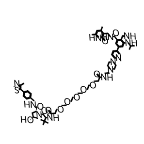 Cc1cc(C)c(CNC(=O)c2cc(-c3ccc(N4CCN(CCNC(=O)CCOCCOCCOCCOCCOCCC(=O)NC(C(=O)N5C[C@H](O)C[C@H]5C(=O)NCc5ccc(-c6scnc6C)cc5)C(C)(C)C)CC4)nc3)cc(NC(C)C)c2C=N)c(=O)[nH]1